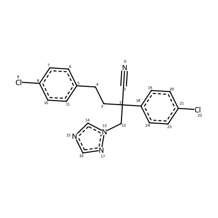 N#CC(CCc1ccc(Cl)cc1)(Cn1cncn1)c1ccc(Cl)cc1